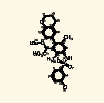 Cc1cc(NS(=O)(=O)c2cccc(Cl)c2)c(C)c(C(OC(C)(C)C)C(=O)O)c1-c1ccc2c(c1)CCCO2